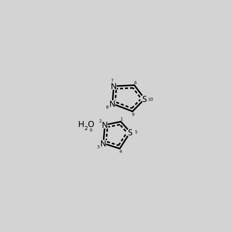 O.c1nncs1.c1nncs1